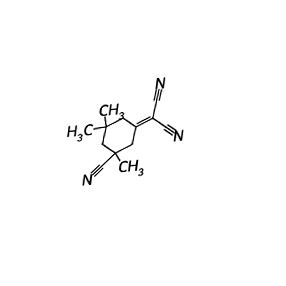 CC1(C)CC(=C(C#N)C#N)CC(C)(C#N)C1